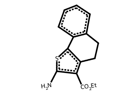 CCOC(=O)c1c(N)sc2c1CCc1ccccc1-2